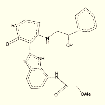 COCC(=O)Nc1cccc2nc(-c3c(NCC(O)c4ccccc4)cc[nH]c3=O)[nH]c12